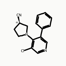 N#C[C@@H]1CCN(c2c(Cl)cncc2-c2ccccc2)C1